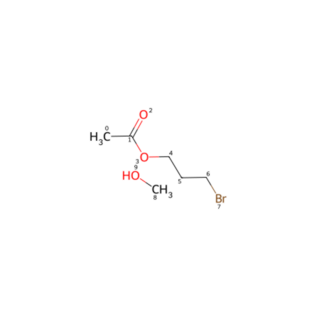 CC(=O)OCCCBr.CO